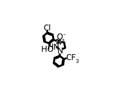 [O-][N+]1(c2cc(Cl)ccc2O)CCN(c2ccccc2C(F)(F)F)N1